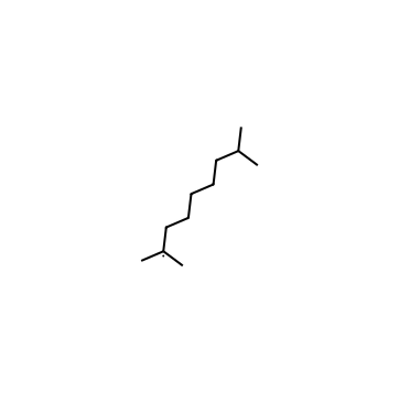 C[C](C)CCCCCC(C)C